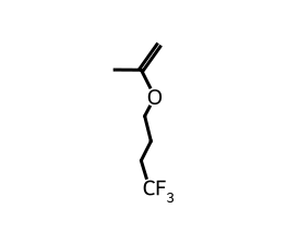 C=C(C)OCCCC(F)(F)F